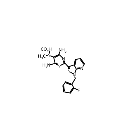 CN(C(=O)O)c1c(N)nc(-c2nn(Cc3ccccc3F)c3ncccc23)nc1N